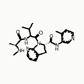 CN[C@@H](C)C(=O)N[C@H](C(=O)N1c2ncccc2C[C@H]1C(=O)Nc1cnccc1C)C(C)C